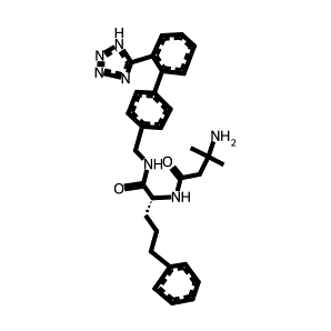 CC(C)(N)CC(=O)N[C@H](CCCc1ccccc1)C(=O)NCc1ccc(-c2ccccc2-c2nnn[nH]2)cc1